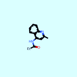 CCC(=O)Nc1cc(C)nc2ccccc12